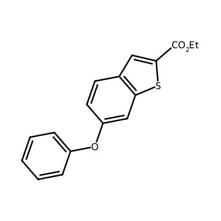 CCOC(=O)c1cc2ccc(Oc3ccccc3)cc2s1